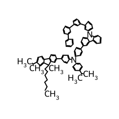 CCCCCCCCC1(C)c2cc(-c3ccc(N(c4ccc(-c5ccc6c(c5)c5ccccc5n6-c5cccc(-c6cccc(-c7cccc(-c8ccccc8)c7)c6)c5)cc4)c4ccc(C(C)C)cc4)cc3)ccc2-c2ccc(C(C)C)cc21